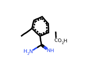 CC(=O)O.Cc1ccccc1C(=N)N